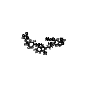 CCc1c(C#CCNc2cc(F)c(S(C)(=O)=O)cc2OC)sc2c(NC3CCN(CC4COC(=O)O4)CC3)cccc12